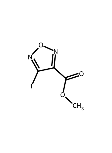 COC(=O)c1nonc1I